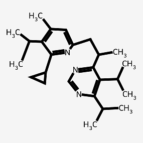 Cc1cc(CC(C)c2ncnc(C(C)C)c2C(C)C)nc(C2CC2)c1C(C)C